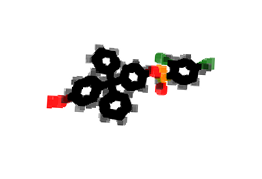 O=[PH](Oc1ccc(C(c2ccccc2)(c2ccccc2)c2ccc(O)cc2)cc1)c1ccc(Cl)cc1Cl